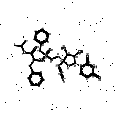 CC(C)OC(=O)[C@H](Cc1ccccc1)NP(=O)(OC[C@@]1(N=[N+]=[N-])O[C@@H](n2ccc(=O)[nH]c2=O)[C@H](O)[C@@H]1O)Oc1ccccc1